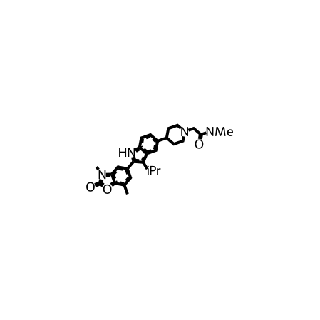 CNC(=O)CN1CCC(c2ccc3[nH]c(-c4cc(C)c5oc(=O)n(C)c5c4)c(C(C)C)c3c2)CC1